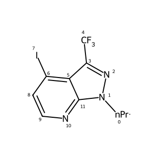 CC[CH]n1nc(C(F)(F)F)c2c(I)ccnc21